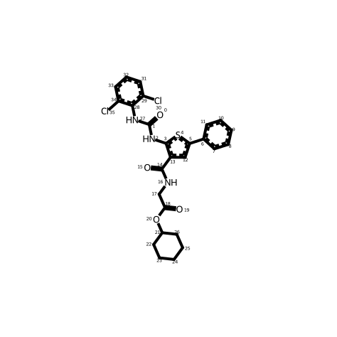 O=C(Nc1sc(-c2ccccc2)cc1C(=O)NCC(=O)OC1CCCCC1)Nc1c(Cl)cccc1Cl